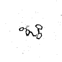 OC(c1ccccc1)c1cccc(CCN2CCCCC2CC2CCCCC2)c1